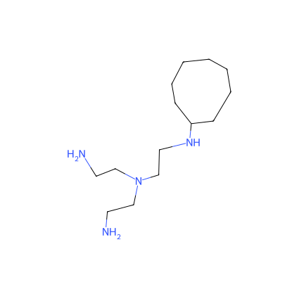 NCCN(CCN)CCNC1CCCCCCC1